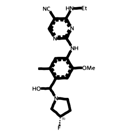 CCNc1nc(Nc2cc(C)c(C(O)N3CC[C@H](F)C3)cc2OC)ncc1C#N